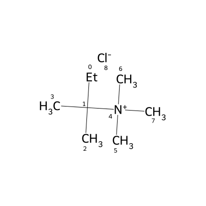 CCC(C)(C)[N+](C)(C)C.[Cl-]